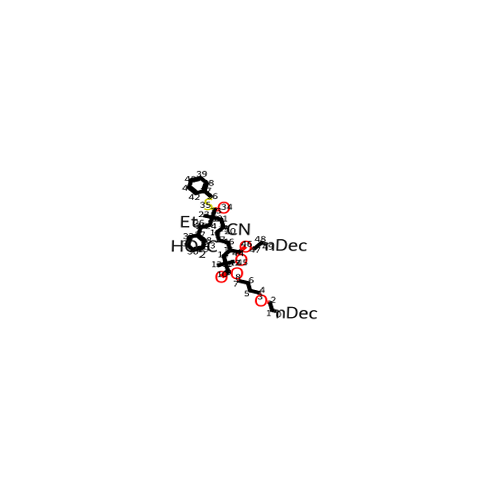 CCCCCCCCCCCCOCCCCOC(=O)C(C)(C)CC(CC(CC(C#N)CC(C)(CC(CC)c1ccccc1)C(=O)SCc1ccccc1)C(=O)O)C(=O)OCCCCCCCCCCCC